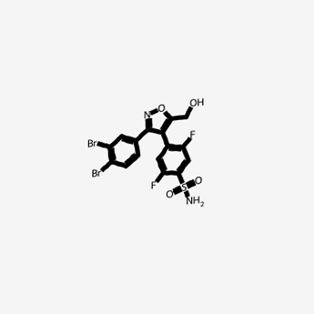 NS(=O)(=O)c1cc(F)c(-c2c(-c3ccc(Br)c(Br)c3)noc2CO)cc1F